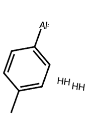 Cc1cc[c]([Al])cc1.[HH].[HH]